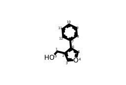 OCc1cocc1-c1ccccc1